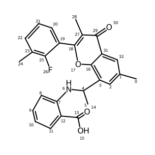 Cc1cc(C(C)Nc2ccccc2C(=O)O)c2oc(-c3cccc(C)c3F)c(C)c(=O)c2c1